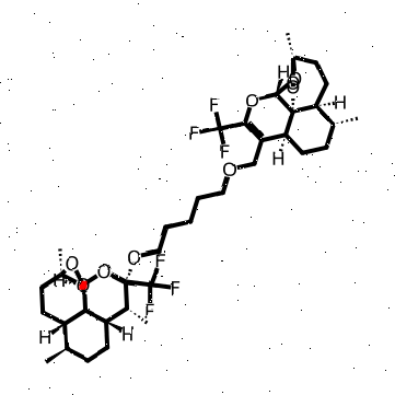 C[C@@H]1CC[C@H]2[C@@H](C)[C@](OCCCCCOCC3=C(C(F)(F)F)O[C@@H]4O[C@]5(C)CC[C@H]6[C@H](C)CC[C@@H]3[C@@]46OO5)(C(F)(F)F)O[C@@H]3O[C@]4(C)CC[C@@H]1[C@]32O4